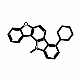 Cn1c2cccc(C3CCCCC3)c2c2ccc3oc4ccccc4c3c21